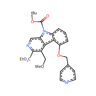 CCOC(=O)c1ncc2c(c1COC)c1c(OCc3ccncc3)cccc1n2C(=O)OC(C)(C)C